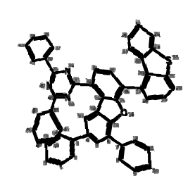 c1ccc(-c2cc(-c3ccccc3)c3oc4c(-c5cccc6sc7ccccc7c56)ccc(-c5nc(-c6ccccc6)nc(-c6ccccc6)n5)c4c3c2)cc1